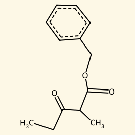 CCC(=O)C(C)C(=O)OCc1ccccc1